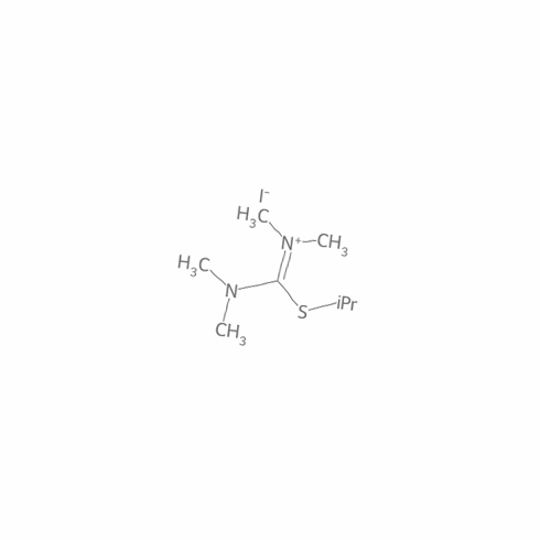 CC(C)SC(N(C)C)=[N+](C)C.[I-]